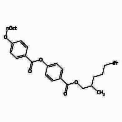 CCCCCCCCOc1ccc(C(=O)Oc2ccc(C(=O)OCC(C)CCCC(C)C)cc2)cc1